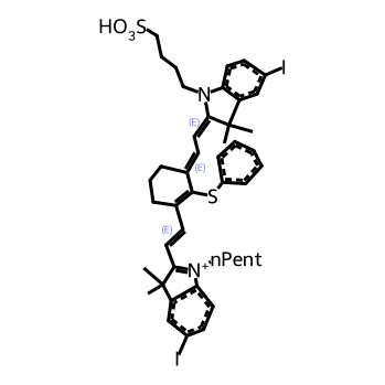 CCCCC[N+]1=C(/C=C/C2=C(Sc3ccccc3)C(=C/C=C3/N(CCCCS(=O)(=O)O)c4ccc(I)cc4C3(C)C)/CCC2)C(C)(C)c2cc(I)ccc21